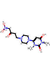 Cn1c(N2CCN(CCC(=O)C[N+](=O)[O-])CC2)cc(=O)n(C)c1=O